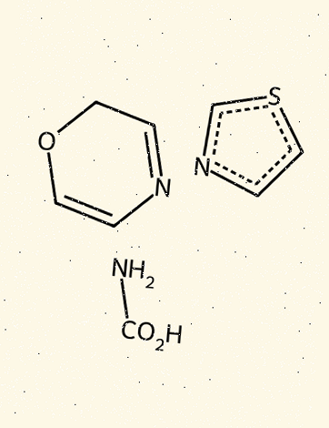 C1=COCC=N1.NC(=O)O.c1cscn1